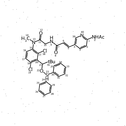 CC(=O)Nc1ccc(C=CC(=O)NCC(=O)N(C)c2ccc(Cl)c(C(O[SiH](c3ccccc3)c3ccccc3)C(C)(C)C)c2Cl)cn1